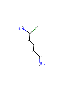 NCCCCC(N)F